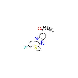 CNC(=O)c1ccc2nc(-c3cccs3)c(-c3ccc(F)cc3)nc2c1